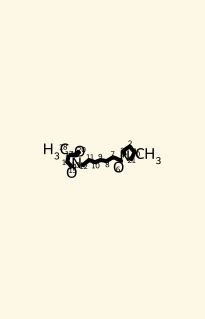 CC1CCN(C(=O)CCCCCCN2C(=O)CC(C)C2=O)C1